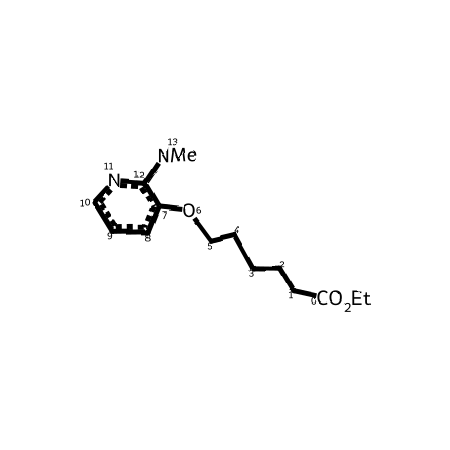 CCOC(=O)CCCCCOc1cccnc1NC